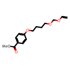 C=COCOCCCCOc1ccc(C(=O)OC)cc1